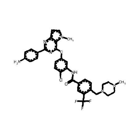 CN1CCN(Cc2ccc(C(=O)Nc3cc(Oc4nc(-c5ccc(N)cc5)nc5ccn(C)c45)ccc3Cl)cc2C(F)(F)F)CC1